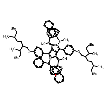 CB(c1ccccc1)n1c(-c2ccc(OCC(CCC(C)CC(C)(C)C)C(C)CC(C)(C)C)cc2)c2/c(=C(\C#N)c3ncc4ccccc4n3)n(B(c3ccccc3)c3ccccc3)c(-c3ccc(OCC(CCC(C)CC(C)(C)C)C(C)CC(C)(C)C)cc3)c2/c1=C(\C#N)c1ncc2ccccc2n1